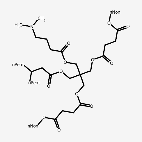 CCCCCCCCCOC(=O)CCC(=O)OCC(COC(=O)CCCN(C)C)(COC(=O)CCC(=O)OCCCCCCCCC)COC(=O)CC(CCCCC)CCCCC